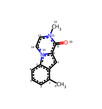 Cc1cccc2c1cc1c(=O)n(C)ccn12